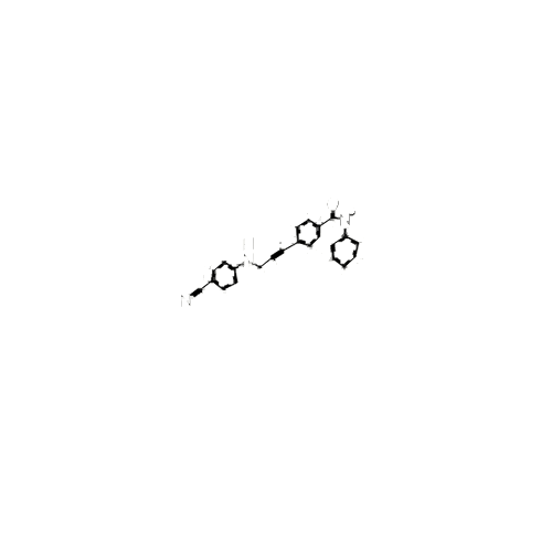 CN(C(=O)c1ccc(C#CCNc2ccc(C#N)cc2)cc1)c1ccccc1